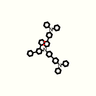 c1ccc(-c2ccc(N(c3ccc(-c4ccc(N(c5ccccc5)c5ccccc5)cc4)cc3)c3ccc(-c4ccc(N(c5ccccc5)c5ccccc5)cc4)cc3)c(-c3ccccc3)c2)cc1